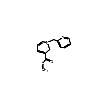 COC(=O)C1=CC=CN(Cc2ccccn2)C1